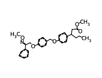 CCCC(CC(=O)OC)c1ccc(OCc2ccc(OC/C(=N\OC)c3ccccc3)cc2)cc1